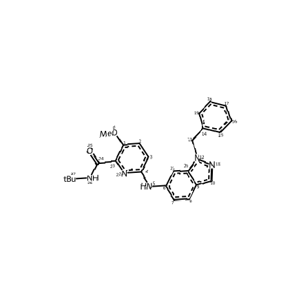 COc1ccc(Nc2ccc3cnn(Cc4ccccc4)c3c2)nc1C(=O)NC(C)(C)C